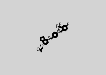 CC(=O)COc1ccc(SCc2ccc(OCc3ccc(F)cc3C(F)(F)F)cc2)c2c1CCC2